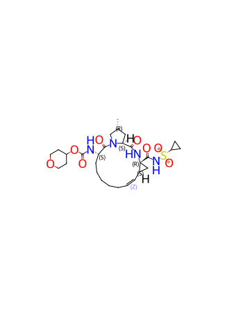 C[C@@H]1C[C@H]2C(=O)N[C@]3(C(=O)NS(=O)(=O)C4CC4)C[C@H]3/C=C\CCCCC[C@H](NC(=O)OC3CCOCC3)C(=O)N2C1